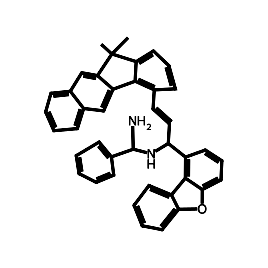 CC1(C)c2cc3ccccc3cc2-c2c(/C=C/C(NC(N)c3ccccc3)c3cccc4oc5ccccc5c34)cccc21